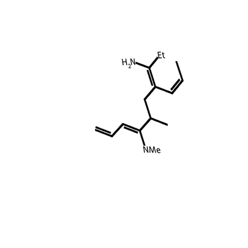 C=C/C=C(\NC)C(C)CC(/C=C\C)=C(\N)CC